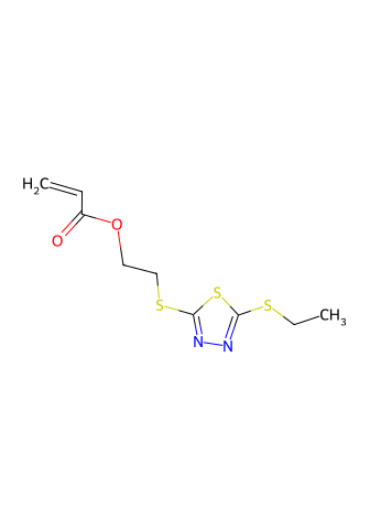 C=CC(=O)OCCSc1nnc(SCC)s1